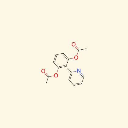 CC(=O)Oc1cccc(OC(C)=O)c1-c1ccccn1